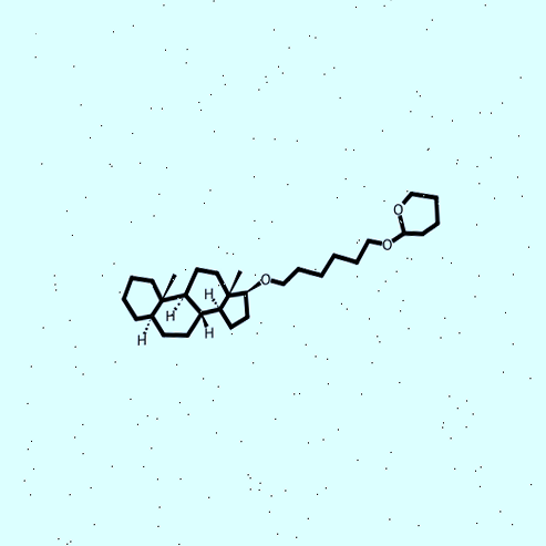 C[C@]12CCCC[C@@H]1CC[C@@H]1[C@@H]2CC[C@]2(C)[C@@H](OCCCCCCOC3CCCCO3)CC[C@@H]12